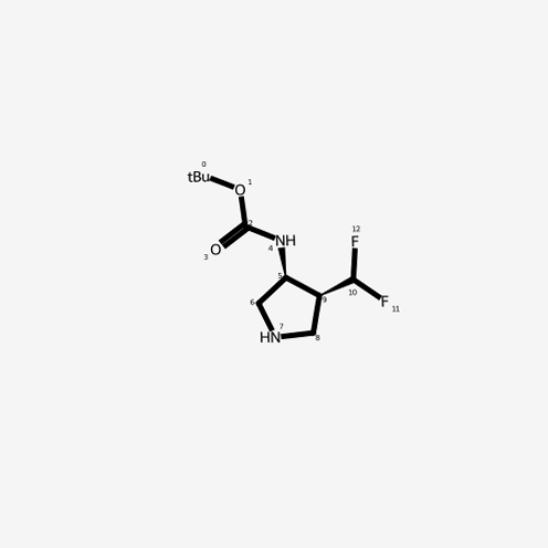 CC(C)(C)OC(=O)N[C@@H]1CNC[C@@H]1C(F)F